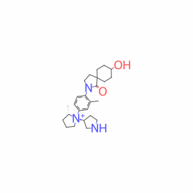 Cc1cc([N+]2([C@H]3CCNC3)CCC[C@@H]2C)ccc1N1CCC2(CCC(O)CC2)C1=O